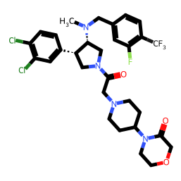 CN(Cc1ccc(C(F)(F)F)c(F)c1)[C@@H]1CN(C(=O)CN2CCC(N3CCOCC3=O)CC2)C[C@@H]1c1ccc(Cl)c(Cl)c1